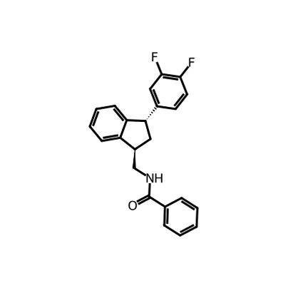 O=C(NC[C@@H]1C[C@@H](c2ccc(F)c(F)c2)c2ccccc21)c1ccccc1